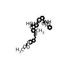 CCOC(=O)CN1CCC2(CCC(CCOc3cccc(-c4ccc(N5CCc6cccc(C(=O)Nc7nc8ccccc8s7)c6C5)nc4C(=O)O)c3C)C2)CC1